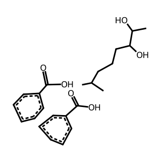 CC(C)CCCC(O)C(C)O.O=C(O)c1ccccc1.O=C(O)c1ccccc1